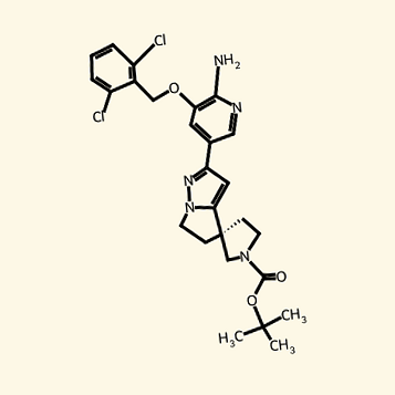 CC(C)(C)OC(=O)N1CC[C@@]2(CCn3nc(-c4cnc(N)c(OCc5c(Cl)cccc5Cl)c4)cc32)C1